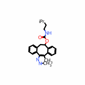 C/N=N\C1=C(/C)c2ccccc2C(OC(=O)NCCC(C)C)Cc2ccccc21